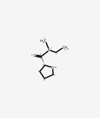 CCN(C)C(=O)[C@H]1CCCO1